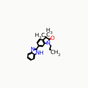 C=CCN1C(=O)C(C)(C)c2ccc(-c3nc4ccccc4[nH]3)cc21